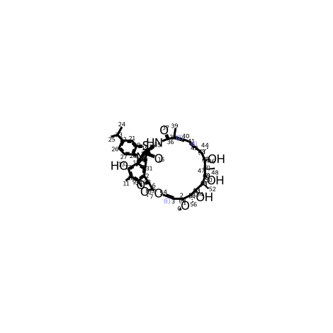 CO[C@H]1/C=C/O[C@@]2(C)Oc3c(C)c(O)c4c(=O)c(c5sc6cc(C(C)C)ccc6nc-5c4c3C2=O)NC(=O)/C(C)=C\C=C\[C@H](C)[C@H](O)[C@@H](C)[C@@H](O)[C@@H](C)[C@H](O)[C@@H]1C